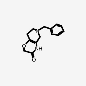 O=C1COC2=C(CN(Cc3ccccc3)CC2)N1